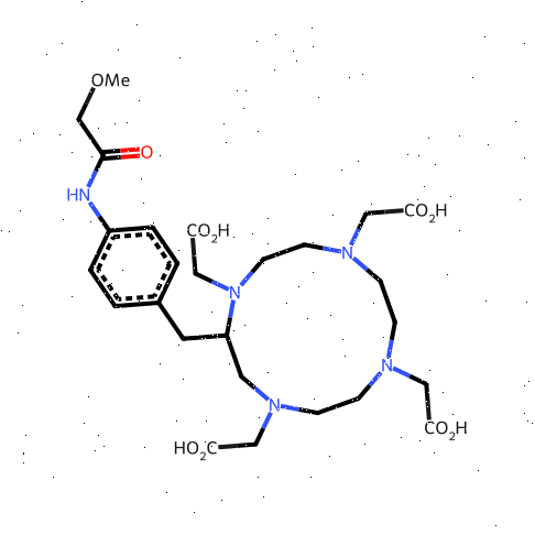 COCC(=O)Nc1ccc(CC2CN(CC(=O)O)CCN(CC(=O)O)CCN(CC(=O)O)CCN2CC(=O)O)cc1